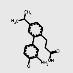 CC(C)c1ccc(CCC(=O)O)c(-c2ccc(Cl)c(N)c2)c1